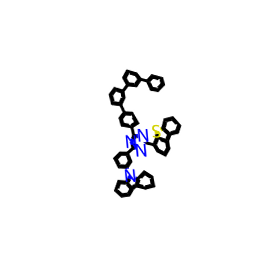 c1ccc(-c2cccc(-c3cccc(-c4ccc(-c5nc(-c6cccc(-n7c8ccccc8c8ccccc87)c6)nc(-c6cccc7c6sc6ccccc67)n5)cc4)c3)c2)cc1